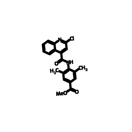 COC(=O)c1cc(C)c(NC(=O)c2cc(Cl)nc3ccccc23)c(C)c1